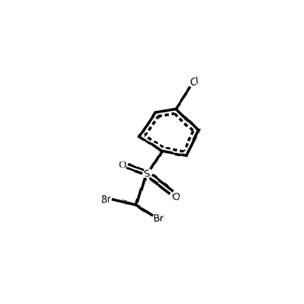 O=S(=O)(c1ccc(Cl)cc1)C(Br)Br